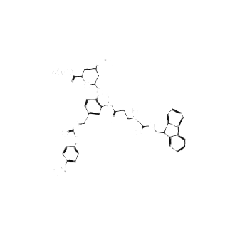 COC(=O)C1CC(OC(C)=O)CC(Oc2ccc(COC(=O)Oc3ccc(N)cc3)cc2NC(=O)CCNC(=O)OCC2c3ccccc3-c3ccccc32)O1